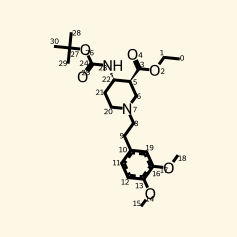 CCOC(=O)[C@H]1CN(CCc2ccc(OC)c(OC)c2)CC[C@@H]1NC(=O)OC(C)(C)C